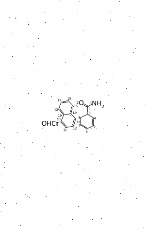 NC(=O)C1C=CC=CC1.O=Cc1cccc2ccccc12